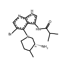 CC(C)C(=O)Nc1c[nH]c2ncc(Br)c(N3CCC(C)[C@@H](N)C3)c12